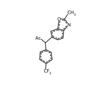 CC(=O)C(c1ccc(C(F)(F)F)cc1)c1ccc2nc(C)oc2c1